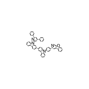 c1ccc(-c2cc(-c3ccccc3)nc(-n3c4ccccc4c4ccc(-c5ccc6c(c5)c5ccccc5n6-c5ccc(-c6cc7c(cn6)oc6ccccc67)cc5)cc43)c2)cc1